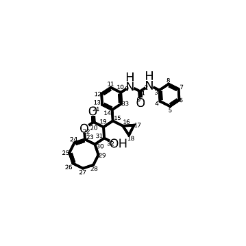 O=C(Nc1ccccc1)Nc1cccc(C(C2CC2)C2C(=O)OC3=CC=CCCCC3C2O)c1